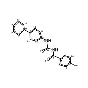 Cc1ccc(C(=O)NC(=S)Nc2ccc(-c3ccccc3)cc2)cc1